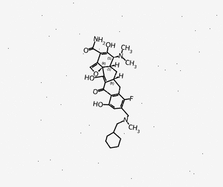 CN(Cc1cc(O)c2c(c1F)C[C@H]1C[C@H]3[C@H](N(C)C)C(O)=C(C(N)=O)C4=CO[C@@]43C(O)=C1C2=O)CC1CCCCC1